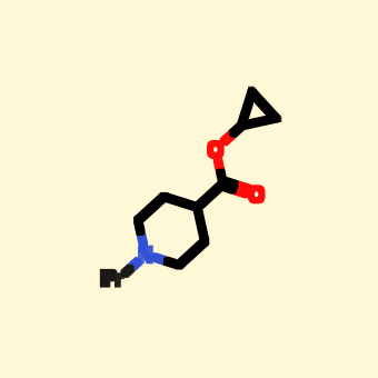 CC(C)N1CCC(C(=O)OC2CC2)CC1